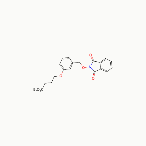 CCOC(=O)CCCOc1cccc(CON2C(=O)c3ccccc3C2=O)c1